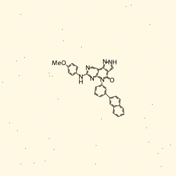 COc1ccc(Nc2ncc3c4n[nH]cc4c(=O)n(-c4cccc(-c5ccc6ccccc6c5)c4)c3n2)cc1